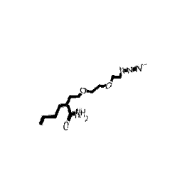 CCCCC(CCOCCOCCN=[N+]=[N-])C(N)=O